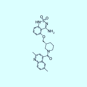 Cc1ccc2nc(C)cc(C(=O)N3CCC[C@H](COc4cccc5c4C(N)=NS(=O)(=O)N5)C3)c2c1